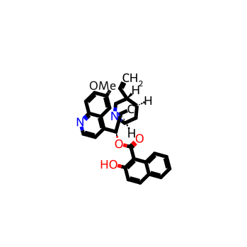 C=C[C@H]1CN2CC[C@H]1C[C@H]2[C@H](OC(=O)c1c(O)ccc2ccccc12)c1ccnc2ccc(OC)cc12